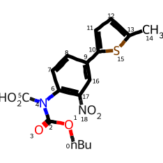 CCCCOC(=O)N(C(=O)O)c1ccc(-c2ccc(C)s2)cc1[N+](=O)[O-]